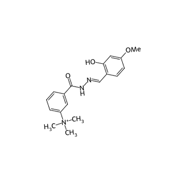 COc1ccc(/C=N/NC(=O)c2cccc([N+](C)(C)C)c2)c(O)c1